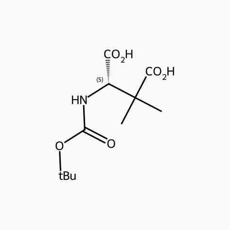 CC(C)(C)OC(=O)N[C@H](C(=O)O)C(C)(C)C(=O)O